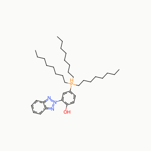 CCCCCCCC[PH](CCCCCCCC)(CCCCCCCC)c1ccc(O)c(-n2nc3ccccc3n2)c1